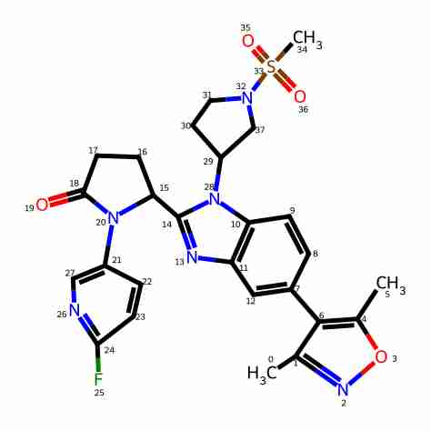 Cc1noc(C)c1-c1ccc2c(c1)nc(C1CCC(=O)N1c1ccc(F)nc1)n2C1CCN(S(C)(=O)=O)C1